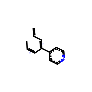 C=C/C=C(\C=C/C)c1ccncc1